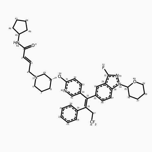 O=C(/C=C/CN1CCC[C@@H](Oc2ccc(/C(=C(/CC(F)(F)F)c3ccccc3)c3ccc4c(c3)c(F)nn4C3CCCCO3)cn2)C1)NC1CCCC1